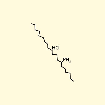 CCCCCCCCCCCCCC(P)CCCCCC.Cl